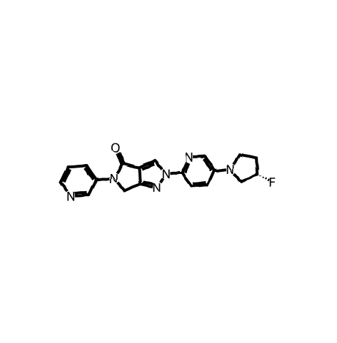 O=C1c2cn(-c3ccc(N4CC[C@H](F)C4)cn3)nc2CN1c1cccnc1